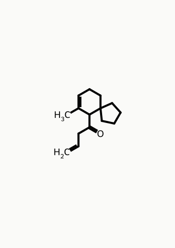 C=CCC(=O)C1C(C)=CCCC12CCCC2